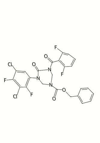 O=C(OCc1ccccc1)N1CN(C(=O)c2c(F)cccc2F)C(=O)N(c2cc(Cl)c(F)c(Cl)c2F)C1